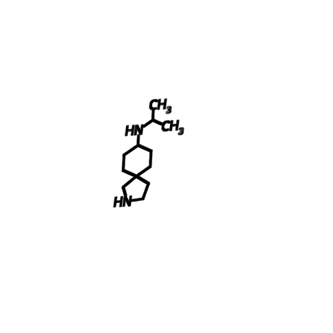 CC(C)NC1CCC2(CCNC2)CC1